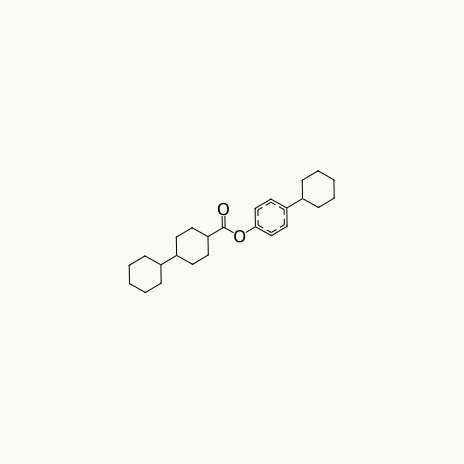 O=C(Oc1ccc(C2CCCCC2)cc1)C1CCC(C2CCCCC2)CC1